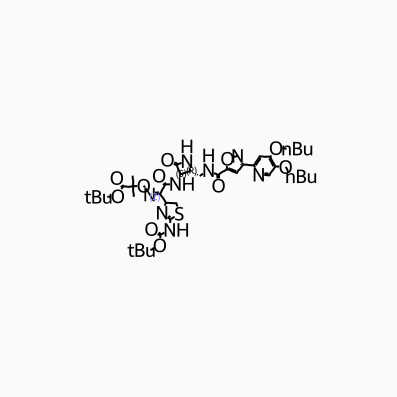 CCCCOc1cnc(-c2cc(C(=O)NC[C@H]3NC(=O)[C@H]3NC(=O)/C(=N\OC(C)(C)C(=O)OC(C)(C)C)C3CSC(NC(=O)OC(C)(C)C)=N3)on2)cc1OCCCC